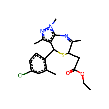 CCOC(=O)CC1SC(c2ccc(Cl)cc2C)c2c(C)nn(C)c2N=C1C